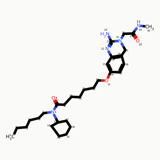 CCCCCCN(C(=O)CCCCCCOc1ccc2c(c1)N=C(N)N(CC(=O)NC)C2)C1CCCCC1